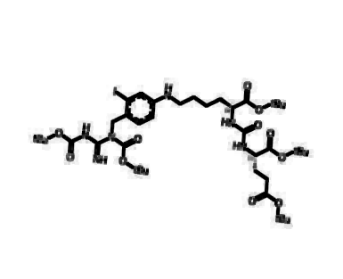 CC(C)(C)OC(=O)CC[C@H](NC(=O)N[C@@H](CCCCNc1ccc(CN(C(=N)NC(=O)OC(C)(C)C)C(=O)OC(C)(C)C)c(I)c1)C(=O)OC(C)(C)C)C(=O)OC(C)(C)C